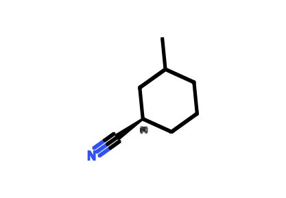 CC1CCC[C@@H](C#N)C1